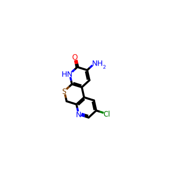 Nc1cc2c([nH]c1=O)SCc1ncc(Cl)cc1-2